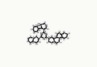 c1ccc2cc(-c3nc(-c4ccc5ccc6c7ccccc7ccc6c5c4)nc(-c4cncc5oc6ccccc6c45)n3)ccc2c1